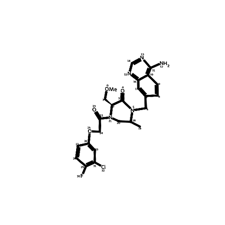 COC[C@H]1C(=O)N(Cc2ccc3c(N)ncnc3c2)C(C)CN1C(=O)COc1ccc(F)c(Cl)c1